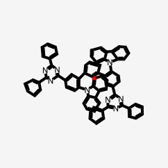 c1ccc(-c2nc(-c3ccccc3)nc(-c3ccc(-n4c5ccccc5c5ccccc54)c(-c4cccc(-c5cc(-c6nc(-c7ccccc7)nc(-c7ccccc7)n6)ccc5-n5c6ccccc6c6ccccc65)c4)c3)n2)cc1